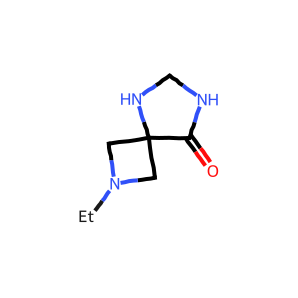 CCN1CC2(C1)NCNC2=O